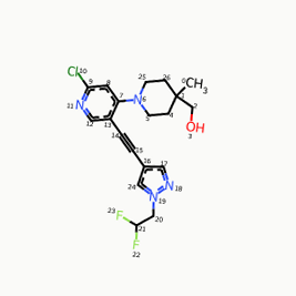 CC1(CO)CCN(c2cc(Cl)ncc2C#Cc2cnn(CC(F)F)c2)CC1